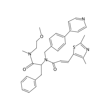 COCCN(C)C(=O)C(Cc1ccccc1)N(Cc1ccc(-c2ccncc2)cc1)C(=O)C=Cc1sc(C)nc1C